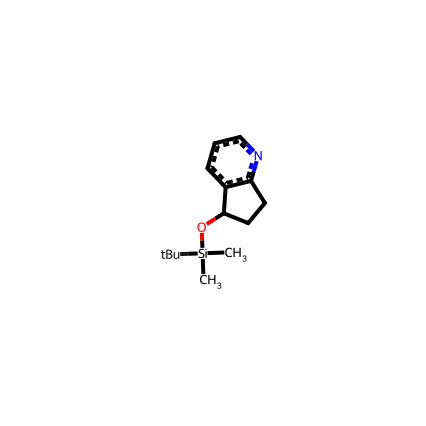 CC(C)(C)[Si](C)(C)OC1CCc2ncccc21